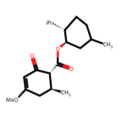 COC1=CC(=O)[C@H](C(=O)O[C@@H]2CC(C)CC[C@H]2C(C)C)[C@@H](C)C1